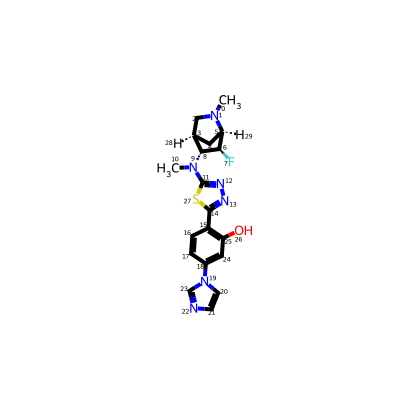 CN1C[C@H]2C[C@@H]1[C@@H](F)[C@@H]2N(C)c1nnc(-c2ccc(-n3ccnc3)cc2O)s1